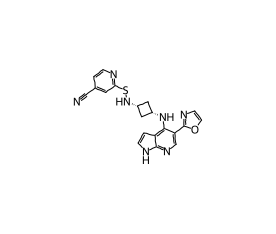 N#Cc1ccnc(SN[C@H]2C[C@@H](Nc3c(-c4ncco4)cnc4[nH]ccc34)C2)c1